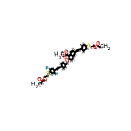 C=CC(=O)OCCSc1ccc(C#Cc2ccc3c(C(=O)OC)c(OCc4ccc(C#Cc5cc(F)c(SCCOC(=O)C=C)cc5F)cc4)ccc3c2)cc1